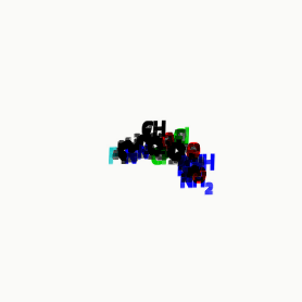 Cc1cc(-c2ccc(F)cn2)nc2ccc(Oc3c(Cl)cc(-n4nc(N)c(=O)[nH]c4=O)cc3Cl)cc12